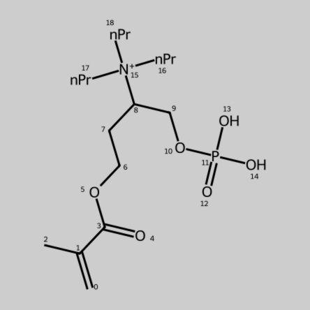 C=C(C)C(=O)OCCC(COP(=O)(O)O)[N+](CCC)(CCC)CCC